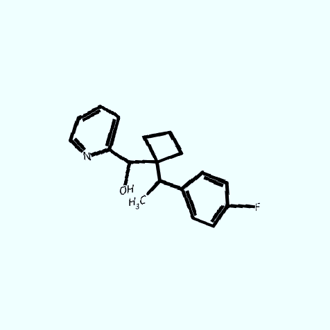 CC(c1ccc(F)cc1)C1(C(O)c2ccccn2)CCC1